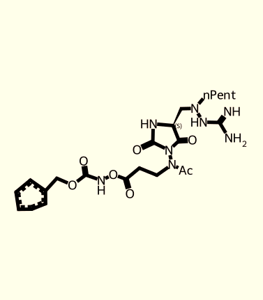 CCCCCN(C[C@@H]1NC(=O)N(N(CCC(=O)ONC(=O)OCc2ccccc2)C(C)=O)C1=O)NC(=N)N